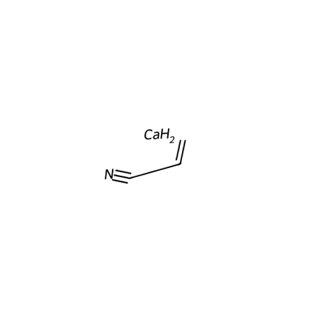 C=CC#N.[CaH2]